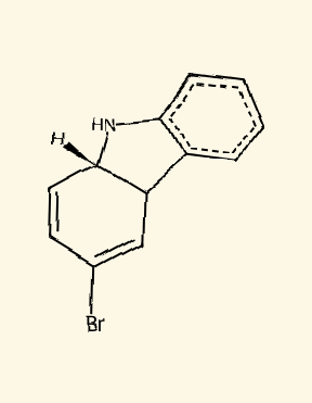 BrC1=CC2c3ccccc3N[C@H]2C=C1